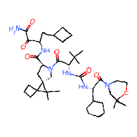 CC1(C)CN(C(=O)[C@@H](NC(=O)N[C@H](C(=O)N2C[C@]3(C[C@H]2C(=O)NC(CC2CCC2)C(=O)C(N)=O)C(C)(C)C32CCC2)C(C)(C)C)C2CCCCC2)CCO1